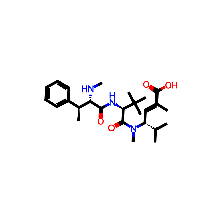 CN[C@H](C(=O)N[C@H](C(=O)N(C)[C@H](/C=C(\C)C(=O)O)C(C)C)C(C)(C)C)[C@@H](C)c1ccccc1